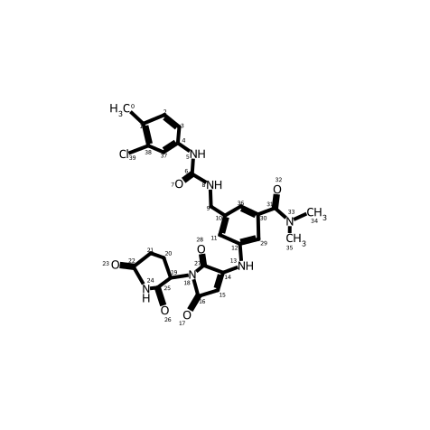 Cc1ccc(NC(=O)NCc2cc(NC3=CC(=O)N(C4CCC(=O)NC4=O)C3=O)cc(C(=O)N(C)C)c2)cc1Cl